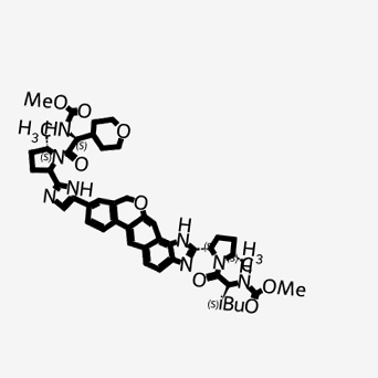 CC[C@H](C)C(NC(=O)OC)C(=O)N1[C@@H](C)CC[C@H]1c1nc2ccc3cc4c(cc3c2[nH]1)OCc1cc(-c2cnc(C3CC[C@H](C)N3C(=O)[C@@H](NC(=O)OC)C3CCOCC3)[nH]2)ccc1-4